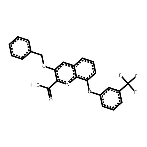 CC(=O)c1nc2c(Oc3cccc(C(F)(F)F)c3)cccc2cc1OCc1ccccc1